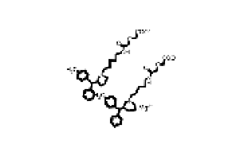 Cc1ccc(C(c2ccccc2)C2CCCN(CCCCCNC(=O)COCC(=O)[O-])C2)cc1.Cc1ccc(C(c2ccccc2)C2CCCN(CCCCCNC(=O)COCC(=O)[O-])C2)cc1.[Mg+2]